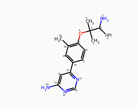 CCCC(N)C(C)(C)Oc1ccc(-c2cc(N)ncn2)cc1C